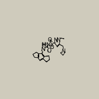 CCn1nc(S(=O)(=O)NC(=O)Nc2c3c(cc4c2CCC4)CCC3)cc1CN1CCC1